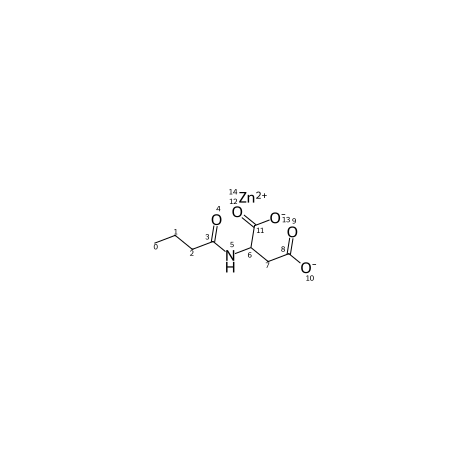 CCCC(=O)NC(CC(=O)[O-])C(=O)[O-].[Zn+2]